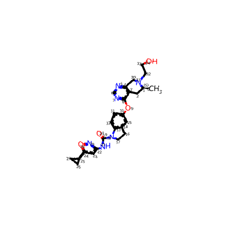 C[C@H]1Cc2c(ncnc2Oc2ccc3c(c2)CCN3C(=O)Nc2cc(C3CC3)on2)CN1CCO